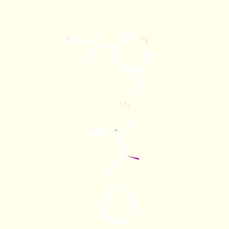 CC(F)(F)c1cncc(CNC[C@@H](O)[C@@H](I)Cc2ccccc2)c1